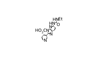 CCNC(=O)Nc1ccc2nc(-c3cccnc3)n(C(=O)O)c2n1